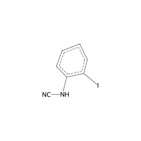 N#CNc1ccccc1I